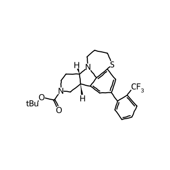 CC(C)(C)OC(=O)N1CC[C@H]2[C@@H](C1)c1cc(-c3ccccc3C(F)(F)F)cc3c1N2CCCS3